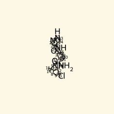 NC(C(=O)NCC1(c2ccc(Cl)cc2)CC1)C1C2CC3CC1CC(C(=O)Nc1ccnc4[nH]ccc14)(C3)C2